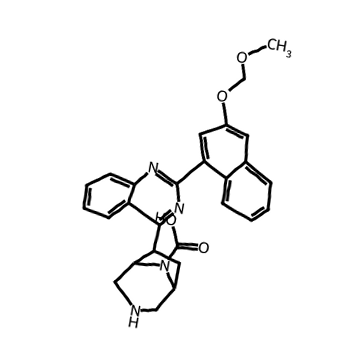 COCOc1cc(-c2nc(C3CC4CNCC3N4C(=O)O)c3ccccc3n2)c2ccccc2c1